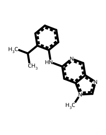 CC(C)c1ccccc1Nc1cc2c(cn1)ncn2C